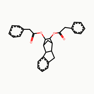 O=C(Cc1ccccc1)OC1C2CC(C1OC(=O)Cc1ccccc1)C1c3ccccc3CC21